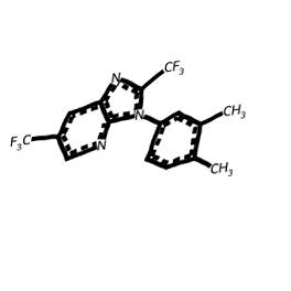 Cc1ccc(-n2c(C(F)(F)F)nc3cc(C(F)(F)F)cnc32)cc1C